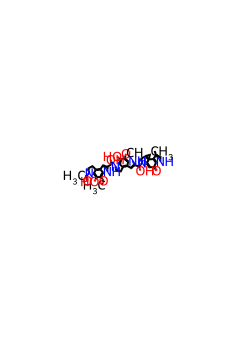 COc1c(O)c2c(c3cc(C(O)N4CCc5c4c(O)c(OC)c4[nH]c(C(O)N6CC7CC78C6=CC(=O)c6[nH]cc(C)c68)cc54)[nH]c13)CCN2C(C)=O